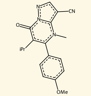 COc1ccc(-c2c(C(C)C)c(=O)n3ncc(C#N)c3n2C)cc1